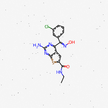 CCNC(=O)c1cc2c(C(=NO)c3cccc(Cl)c3)nc(N)nc2s1